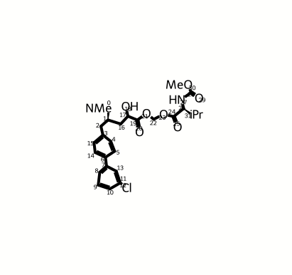 CN[C@H](Cc1ccc(-c2cccc(Cl)c2)cc1)CC(O)C(=O)OCOC(=O)[C@@H](NC(=O)OC)C(C)C